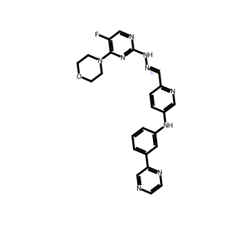 Fc1cnc(N/N=C/c2ccc(Nc3cccc(-c4cnccn4)c3)cn2)nc1N1CCOCC1